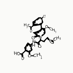 COCCC(C(=O)Nc1ccc(C(=O)O)c(OC)c1)n1cc(OC)c(-c2cc(Cl)ccc2C(C)=O)cc1=O